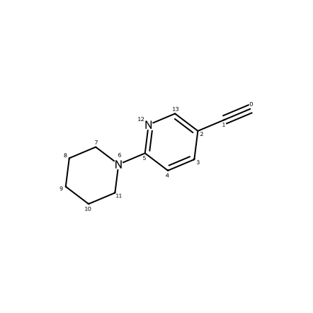 C#Cc1ccc(N2CCCCC2)nc1